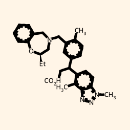 CC[C@@H]1CN(Cc2cc(C(CC(=O)O)c3ccc4c(nnn4C)c3C)ccc2C)Cc2ccccc2O1